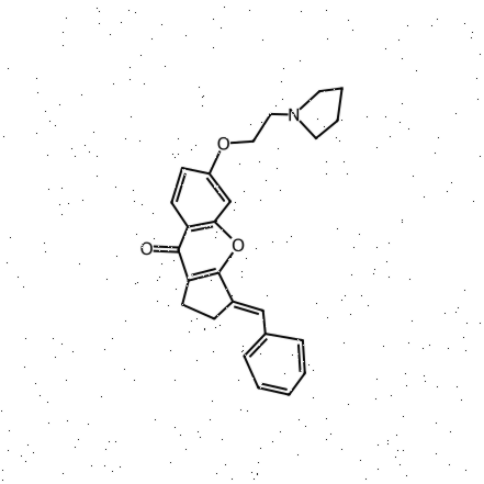 O=c1c2c(oc3cc(OCCN4CCCC4)ccc13)/C(=C/c1ccccc1)CC2